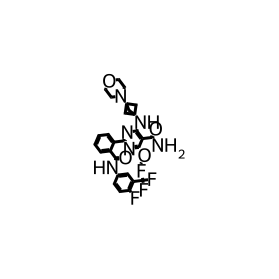 COc1nc(-c2ccccc2C(=O)Nc2ccc(F)c(C(F)(F)F)c2)nc(NC23CC(N4CCOCC4)(C2)C3)c1C(N)=O